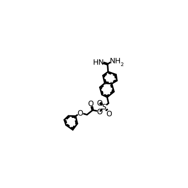 N=C(N)c1ccc2cc(CS(=O)(=O)OC(=O)COc3ccccc3)ccc2c1